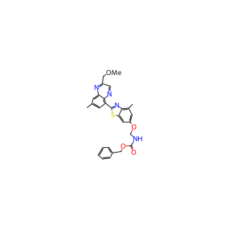 COCc1cnc2c(-c3nc4c(C)cc(OCNC(=O)OCc5ccccc5)cc4s3)cc(C)cc2n1